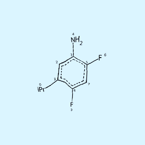 CC(C)c1cc(N)c(F)cc1F